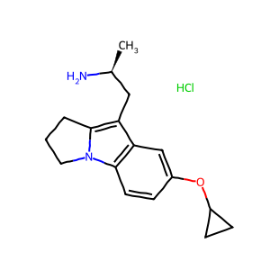 C[C@H](N)Cc1c2n(c3ccc(OC4CC4)cc13)CCC2.Cl